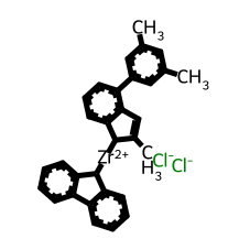 CC1=Cc2c(-c3cc(C)cc(C)c3)cccc2[CH]1[Zr+2][CH]1c2ccccc2-c2ccccc21.[Cl-].[Cl-]